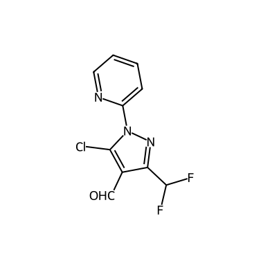 O=Cc1c(C(F)F)nn(-c2ccccn2)c1Cl